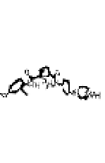 COc1ccc(NC(=O)c2ccc(C(=O)NC3C=CC(N4CCNCC4)=CC3)s2)c(C)c1